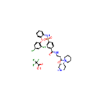 O=C(NCCC(=O)[N+]1(C2CCNCC2)CCCCC1)c1ccc(S(=O)(=O)Nc2ccccc2Oc2ccc(Cl)cc2Cl)cc1.O=C(O)C(F)(F)F